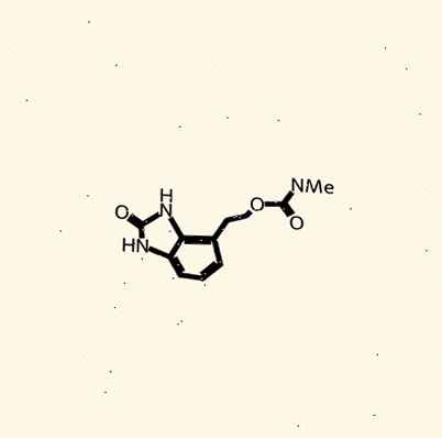 CNC(=O)OCCc1cccc2[nH]c(=O)[nH]c12